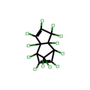 ClC1=C(Cl)C2(Cl)C3(Cl)C(Cl)=C(Cl)C(Cl)(C3(Cl)Cl)C2(Cl)C1(Cl)Cl